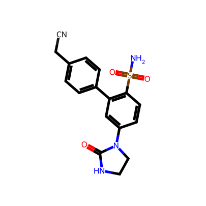 N#CCc1ccc(-c2cc(N3CCNC3=O)ccc2S(N)(=O)=O)cc1